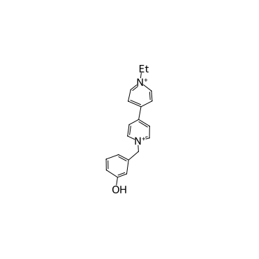 CC[n+]1ccc(-c2cc[n+](Cc3cccc(O)c3)cc2)cc1